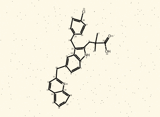 CC(C)(Cc1[nH]c2ccc(Cc3ccc4ccccc4n3)cc2c1Cc1ccc(Cl)cc1)C(=O)O